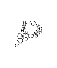 CN1C(=O)NS(=O)(=O)c2ccc3c(c2)N(C[C@@H]2CC[C@H]2CN2CCC1CC2)C[C@@]1(CCCc2cc(Cl)ccc21)CO3